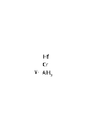 [AlH3].[Cr].[Hf].[Y]